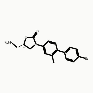 CCc1ccc(-c2ccc(N3C[C@H](CNC(C)=O)OC3=O)cc2C)cc1